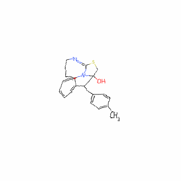 Cc1ccc(C(c2ccccc2)C2(O)CSC3=NCCCCN32)cc1